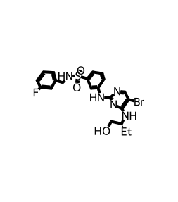 CC[C@H](CO)Nc1nc(Nc2cccc(S(=O)(=O)NCc3cccc(F)c3)c2)ncc1Br